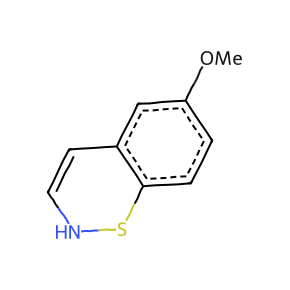 COc1ccc2c(c1)C=CNS2